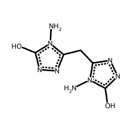 Nn1c(O)nnc1Cc1nnc(O)n1N